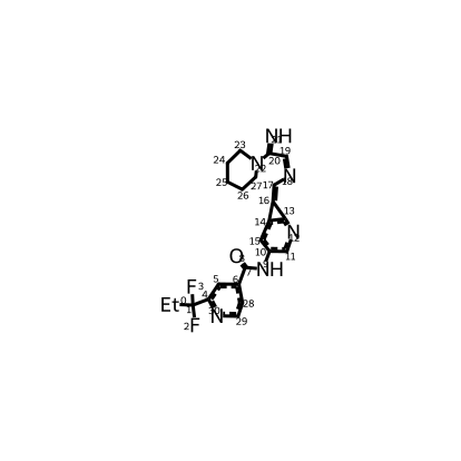 CCC(F)(F)c1cc(C(=O)Nc2cnc3c(c2)/C3=C/N=C\C(=N)N2CCCCC2)ccn1